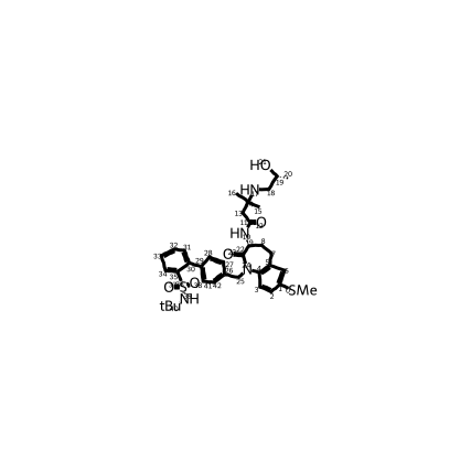 CSc1ccc2c(c1)CC[C@@H](NC(=O)CC(C)(C)NC[C@@H](C)O)C(=O)N2Cc1ccc(-c2ccccc2S(=O)(=O)NC(C)(C)C)cc1